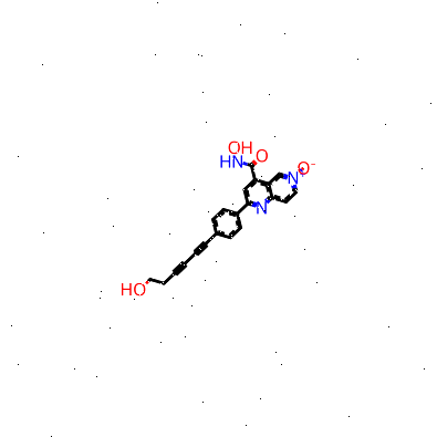 O=C(NO)c1cc(-c2ccc(C#CC#CCCO)cc2)nc2cc[n+]([O-])cc12